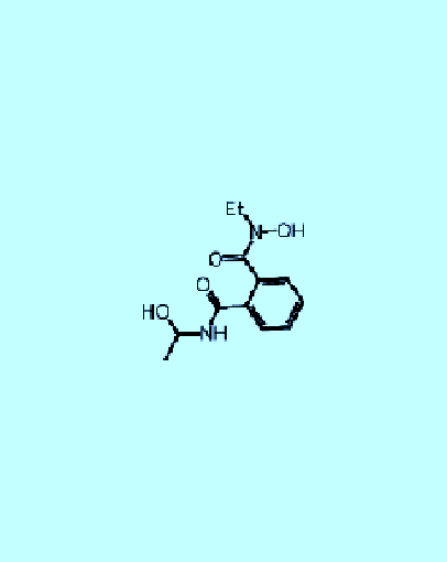 CCN(O)C(=O)c1ccccc1C(=O)NC(C)O